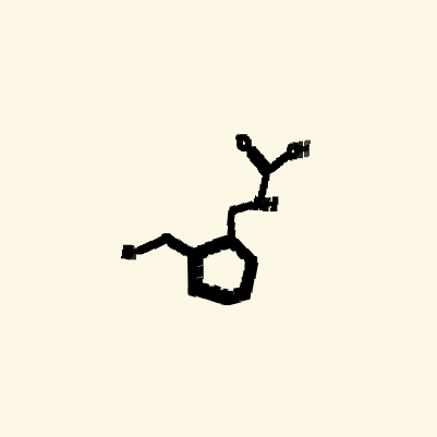 O=C(O)NCc1ccccc1CBr